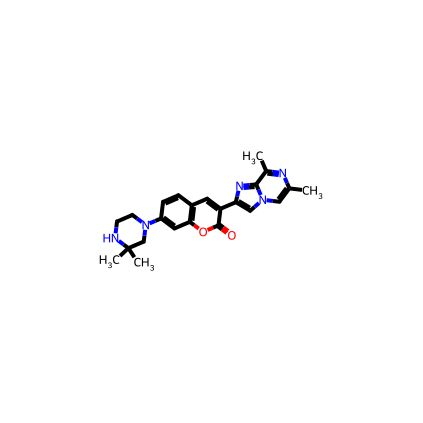 Cc1cn2cc(-c3cc4ccc(N5CCNC(C)(C)C5)cc4oc3=O)nc2c(C)n1